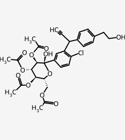 C#CC(c1ccc(CCO)cc1)c1cc([C@]2(O)O[C@H](COC(C)=O)[C@@H](OC(C)=O)[C@H](OC(C)=O)[C@H]2OC(C)=O)ccc1Cl